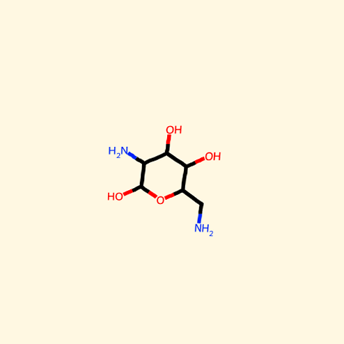 NCC1OC(O)C(N)C(O)C1O